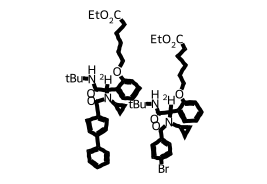 [2H]C(C(=O)NC(C)(C)C)(c1ccccc1OCCCCCC(=O)OCC)N(C(=O)c1ccc(-c2ccccc2)cc1)C1CC1.[2H]C(C(=O)NC(C)(C)C)(c1ccccc1OCCCCCC(=O)OCC)N(C(=O)c1ccc(Br)cc1)C1CC1